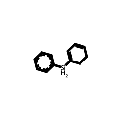 C1=CCCC([SiH2]c2ccccc2)=C1